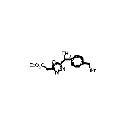 CCOC(=O)Cc1nnc(C(C)c2ccc(CC(C)C)cc2)o1